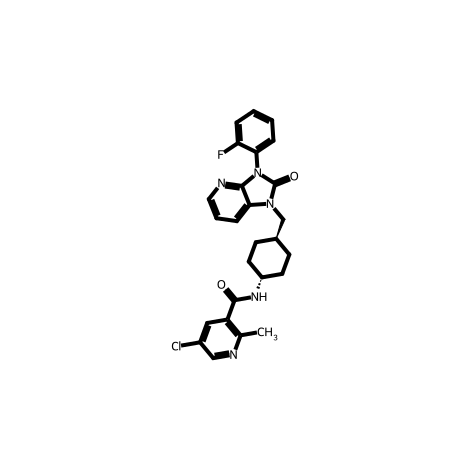 Cc1ncc(Cl)cc1C(=O)N[C@H]1CC[C@H](Cn2c(=O)n(-c3ccccc3F)c3ncccc32)CC1